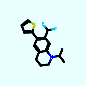 CC(C)N1CCCc2cc(-c3cccs3)c(C(F)F)cc21